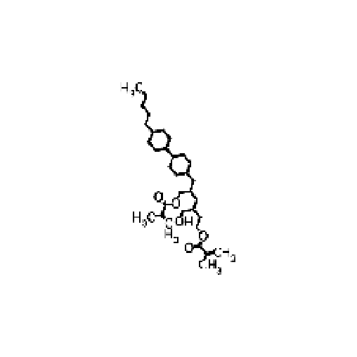 C=C(C)C(=O)OCCC(CO)CC(COC(=O)C(=C)C)CC1CCC(C2CCC(CCCCC)CC2)CC1